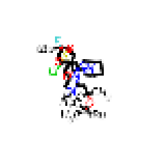 CC(C)(C)CS(=O)(=O)c1cc(N2C3CCC2CN(C(=O)c2ccc(F)cc2Cl)C3)n2c(CC(C)(C)O[Si](C)(C)C(C)(C)C)ncc2c1